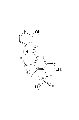 COc1cc(-c2cc3c(O)cccc3[nH]2)c2c(c1OS(C)(=O)=O)CNC2=O